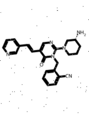 N#Cc1ccccc1Cn1c(N2CCC[C@@H](N)C2)ncc(C=Cc2cccnc2)c1=O